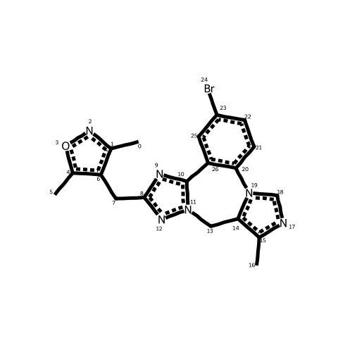 Cc1noc(C)c1Cc1nc2n(n1)Cc1c(C)ncn1-c1ccc(Br)cc1-2